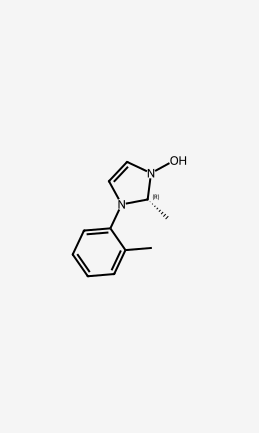 Cc1ccccc1N1C=CN(O)[C@@H]1C